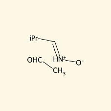 CC(C)C=[NH+][O-].CC=O